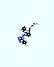 COCCOCC#Cc1cccc2nc(Cn3nc(-c4ccc(O)cc4)c4c(N)ncnc43)n(Cc3ccccc3Cl)c(=O)c12